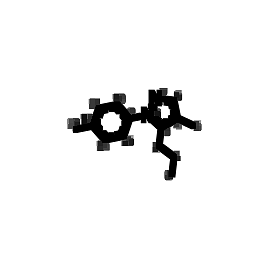 CCCc1c(C)cnn1-c1ccc(C)cc1